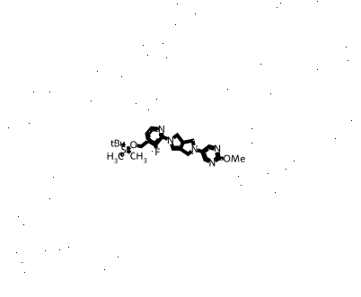 COc1ncc(N2CC3=CN(c4nccc(CO[Si](C)(C)C(C)(C)C)c4F)CC3C2)cn1